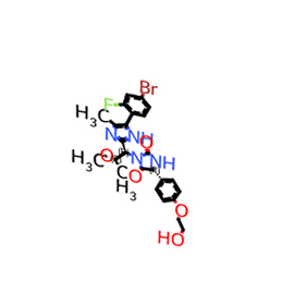 CO[C@H](C)[C@@H](c1nc(C)c(-c2ccc(Br)cc2F)[nH]1)N1C(=O)N[C@H](c2ccc(OCCO)cc2)C1=O